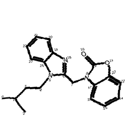 CC(C)CCn1c(Cn2c(=O)oc3ccccc32)nc2ccccc21